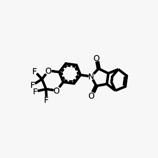 O=C1C2C3C=CC(CC3)C2C(=O)N1c1ccc2c(c1)OC(F)(F)C(F)(F)O2